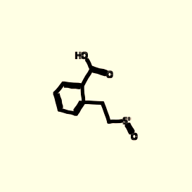 O=[S+]CCc1ccccc1C(=O)O